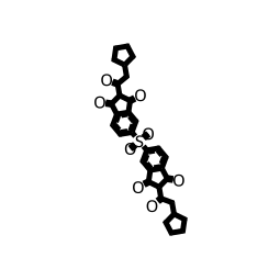 O=C(CC1CCCC1)C1C(=O)c2ccc(S(=O)(=O)c3ccc4c(c3)C(=O)C(C(=O)CC3CCCC3)C4=O)cc2C1=O